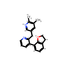 Cc1cc(Cc2ncccc2-c2cccc3c2OCC3)cnc1C(F)(F)F